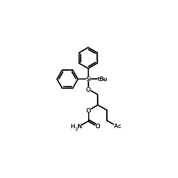 CC(=O)CCC(CO[Si](c1ccccc1)(c1ccccc1)C(C)(C)C)OC(N)=O